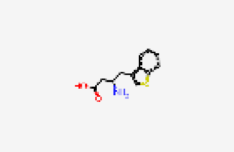 NC(CC(=O)O)Cc1csc2ccccc12